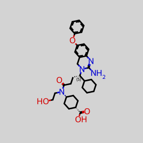 NC1=Nc2ccc(Oc3ccccc3)cc2CN1[C@@H](CCC(=O)N(CCO)[C@H]1CC[C@@H](C(=O)O)CC1)C1CCCCC1